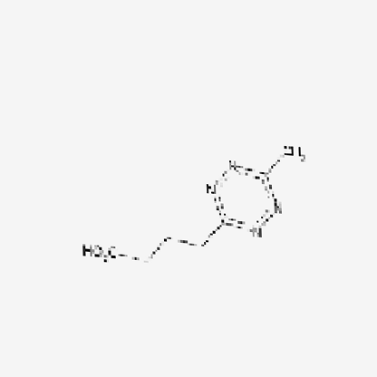 Cc1nnc(CCCC(=O)O)nn1